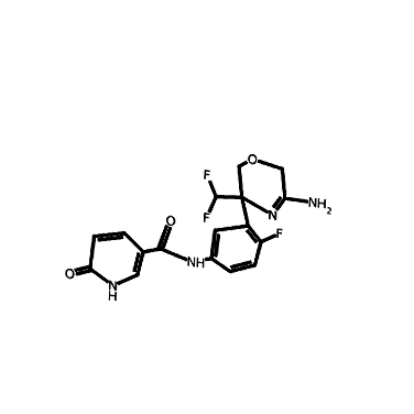 NC1=NC(c2cc(NC(=O)c3ccc(=O)[nH]c3)ccc2F)(C(F)F)COC1